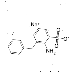 Nc1c(Cc2ccccc2)cccc1S(=O)(=O)[O-].[Na+]